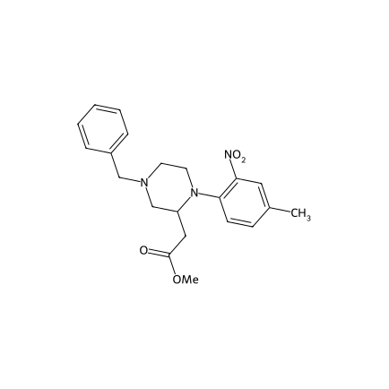 COC(=O)CC1CN(Cc2ccccc2)CCN1c1ccc(C)cc1[N+](=O)[O-]